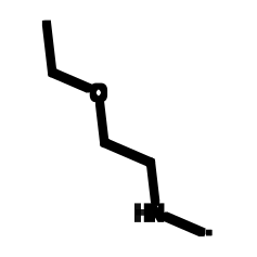 [CH2]NCCOCC